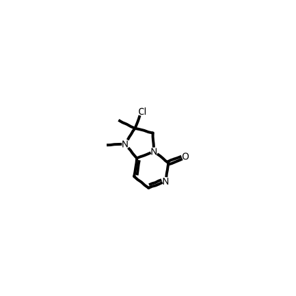 CN1c2ccnc(=O)n2CC1(C)Cl